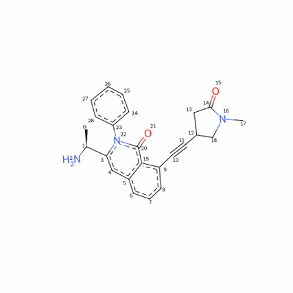 C[C@H](N)c1cc2cccc(C#CC3CC(=O)N(C)C3)c2c(=O)n1-c1ccccc1